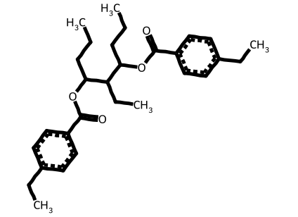 CCCC(OC(=O)c1ccc(CC)cc1)C(CC)C(CCC)OC(=O)c1ccc(CC)cc1